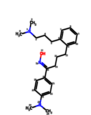 CN(C)CCCc1ccccc1CCCC(=NO)c1ccc(N(C)C)cc1